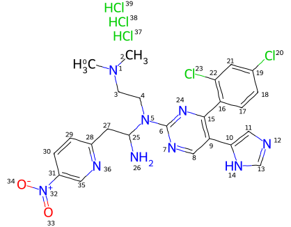 CN(C)CCN(c1ncc(-c2cnc[nH]2)c(-c2ccc(Cl)cc2Cl)n1)C(N)Cc1ccc([N+](=O)[O-])cn1.Cl.Cl.Cl